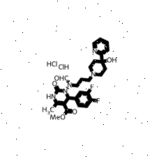 COC(=O)C1=C(C)NC(=O)N(N(C=O)CCCN2CCC(O)(c3ccccn3)CC2)C1c1ccc(F)c(F)c1.Cl.Cl